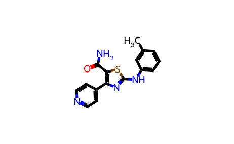 Cc1cccc(Nc2nc(-c3ccncc3)c(C(N)=O)s2)c1